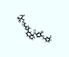 CC(C)C(CNCCc1nc(-c2ccc3ncnc(Nc4ccc(OCc5cccc(F)c5)c(Br)c4)c3c2)cs1)=S(=O)=O